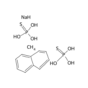 C.OP(O)(O)=S.OP(O)(O)=S.[NaH].c1ccc2ccccc2c1